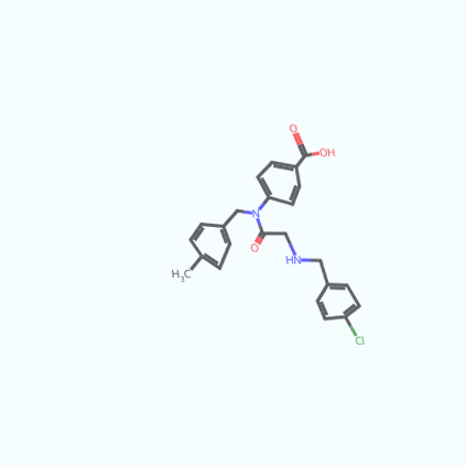 Cc1ccc(CN(C(=O)CNCc2ccc(Cl)cc2)c2ccc(C(=O)O)cc2)cc1